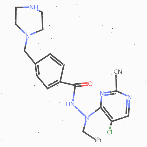 CC(C)CN(NC(=O)c1ccc(CN2CCNCC2)cc1)c1nc(C#N)ncc1Cl